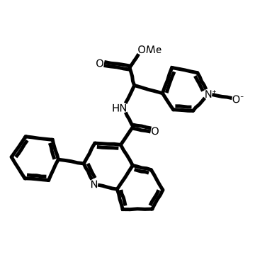 COC(=O)C(NC(=O)c1cc(-c2ccccc2)nc2ccccc12)c1cc[n+]([O-])cc1